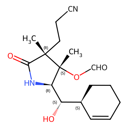 C[C@]1(CCC#N)C(=O)N[C@H]([C@@H](O)[C@@H]2C=CCCC2)[C@@]1(C)OC=O